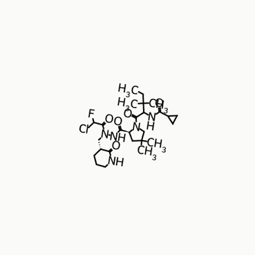 CCC(C)(C)C(NC(=O)C1CC1)C(=O)N1CC(C)(C)C[C@H]1C(=O)NN(C[C@H]1CCCNC1=O)C(=O)C(F)Cl